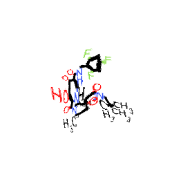 C[C@H]1CC[C@]2(CC(=O)N(CC(C)(C)C)O2)[C@H]2CN1C(=O)c1c(O)c(=O)c(C(=O)NCc3c(F)cc(F)cc3F)cn12